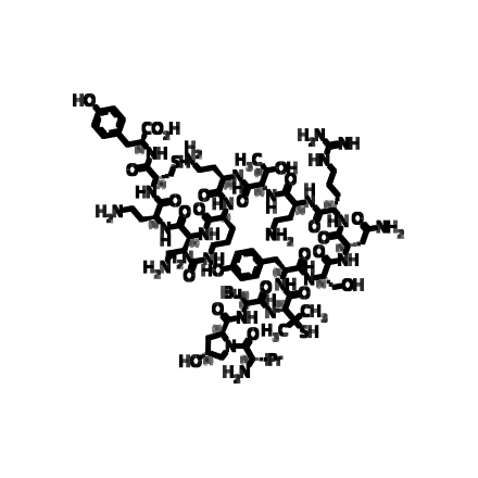 CC[C@H](C)[C@H](NC(=O)[C@@H]1C[C@@H](O)CN1C(=O)[C@@H](N)C(C)C)C(=O)N[C@H](C(=O)N[C@@H](Cc1ccc(O)cc1)C(=O)N[C@@H](CO)C(=O)N[C@@H](CC(N)=O)C(=O)N[C@@H](CCCNC(=N)N)C(=O)N[C@@H](CCN)C(=O)N[C@H](C(=O)N[C@H](CCN)C(=O)N[C@@H](CCCNC(N)=O)C(=O)N[C@@H](CCN)C(=O)N[C@@H](CCN)C(=O)N[C@@H](CS)C(=O)N[C@@H](Cc1ccc(O)cc1)C(=O)O)[C@@H](C)O)C(C)(C)S